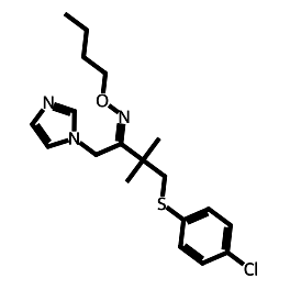 CCCCON=C(Cn1ccnc1)C(C)(C)CSc1ccc(Cl)cc1